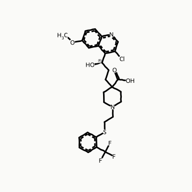 COc1ccc2ncc(Cl)c([C@H](O)CCC3(C(=O)O)CCN(CCSc4ccccc4C(F)(F)F)CC3)c2c1